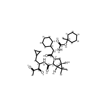 CC(=O)C(=O)C(CC1CC1)NC(=O)[C@@H]1[C@@H]2[C@H](CN1C(=O)[C@@H](NC(=O)OC1(C)CCCCC1)C1CCCCC1)C2(C)C